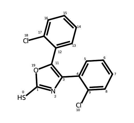 Sc1nc(-c2ccccc2Cl)c(-c2ccccc2Cl)o1